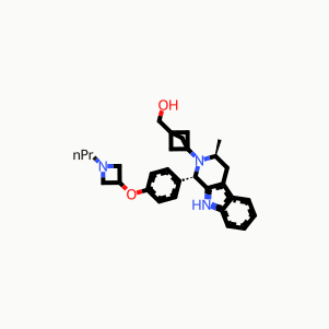 CCCN1CC(Oc2ccc([C@H]3c4[nH]c5ccccc5c4C[C@H](C)N3C34CC(CO)(C3)C4)cc2)C1